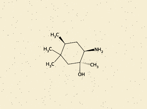 C[C@H]1C[C@@H](N)[C@@](C)(O)CC1(C)C